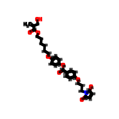 C=C(CO)C(=O)OCCCCCCOc1ccc(OC(=O)c2ccc(OCCCN3C(=O)C=CC3=O)cc2)cc1